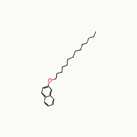 CCCCCCCCCCCCCCOc1ccc2ccc[c]c2c1